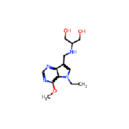 CCn1cc(CNC(CO)CO)c2ncnc(OC)c21